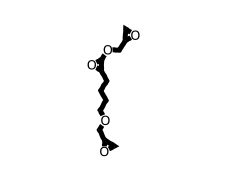 C(CCC1OC1OCC1CO1)COCC1CO1